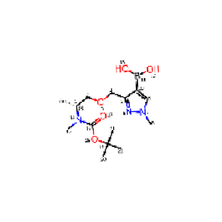 C[C@H](COCc1nn(C)cc1B(O)O)N(C)C(=O)OC(C)(C)C